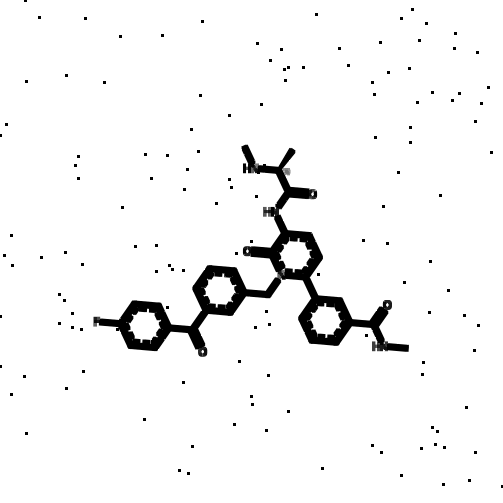 CNC(=O)c1cccc(-c2ccc(NC(=O)[C@H](C)NC)c(=O)n2Cc2cccc(C(=O)c3ccc(F)cc3)c2)c1